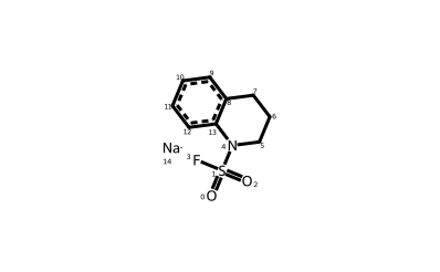 O=S(=O)(F)N1CCCc2ccccc21.[Na]